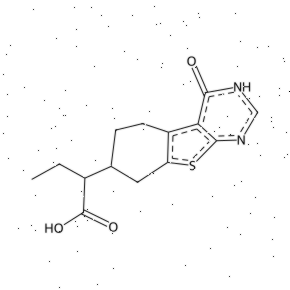 CCC(C(=O)O)C1CCc2c(sc3nc[nH]c(=O)c23)C1